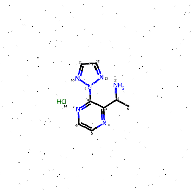 CC(N)c1nccnc1-n1nccn1.Cl